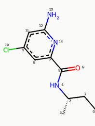 CC[C@H](C)NC(=O)c1cc(Cl)cc(N)n1